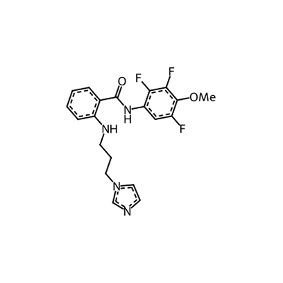 COc1c(F)cc(NC(=O)c2ccccc2NCCCn2ccnc2)c(F)c1F